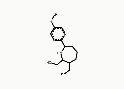 CC(C)CC1CCCC(c2ncc(OC(C)C)cn2)NC1CO